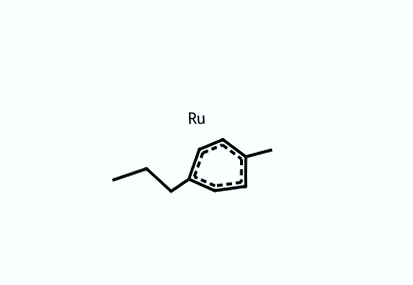 CCCc1ccc(C)cc1.[Ru]